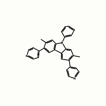 Cc1cc2c(cc1-c1ccncc1)-c1cc(-c3ccncc3)c(C)cc1B2c1ccccc1